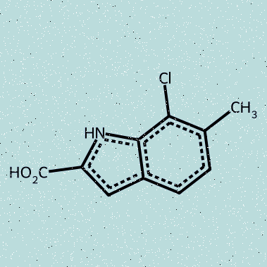 Cc1ccc2cc(C(=O)O)[nH]c2c1Cl